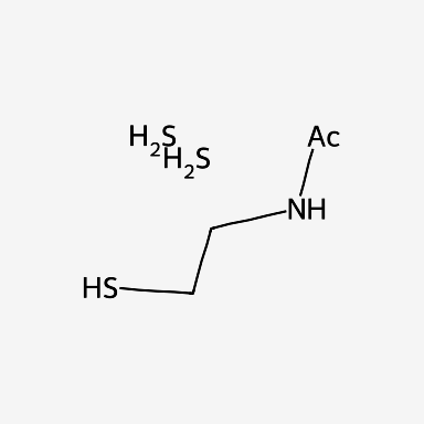 CC(=O)NCCS.S.S